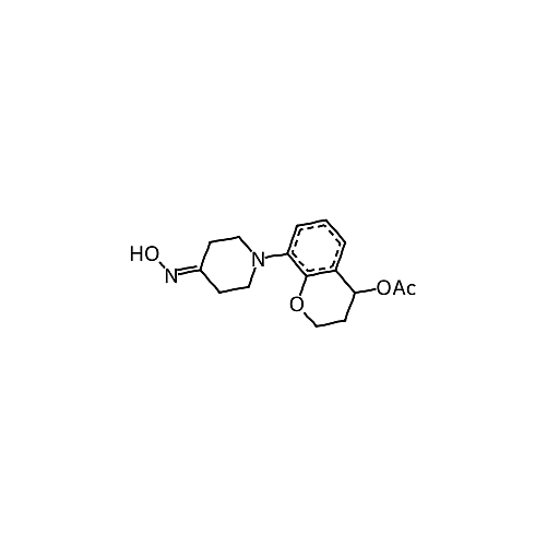 CC(=O)OC1CCOc2c1cccc2N1CCC(=NO)CC1